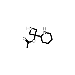 CC(=O)OC1(C2CCCCN2)CNC1